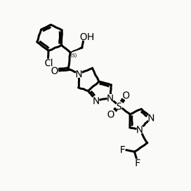 O=C([C@H](CO)c1ccccc1Cl)N1Cc2cn(S(=O)(=O)c3cnn(CC(F)F)c3)nc2C1